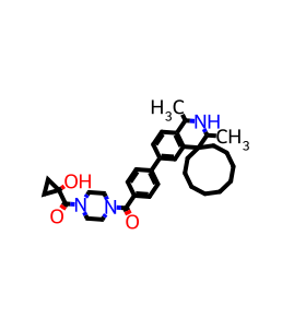 CC1NC(C)C2(CCCCCCCCC2)c2cc(-c3ccc(C(=O)N4CCN(C(=O)C5(O)CC5)CC4)cc3)ccc21